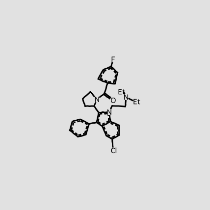 CCN(CC)CCn1c(C2CCCN2C(=O)c2ccc(F)cc2)c(-c2ccccc2)c2cc(Cl)ccc21